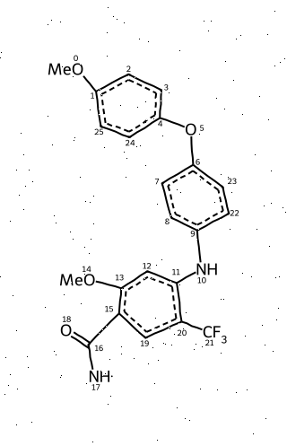 COc1ccc(Oc2ccc(Nc3cc(OC)c(C([NH])=O)cc3C(F)(F)F)cc2)cc1